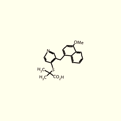 COc1ccc(Cc2cnccc2SC(C)(C)C(=O)O)c2ccccc12